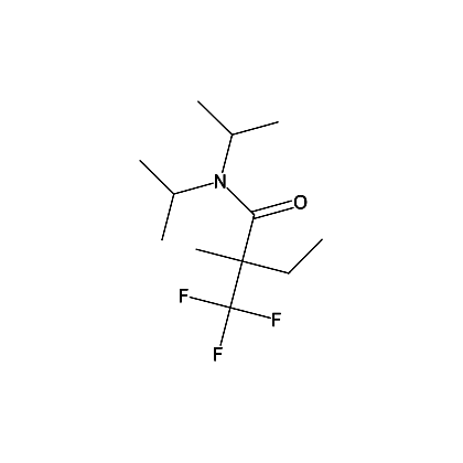 CCC(C)(C(=O)N(C(C)C)C(C)C)C(F)(F)F